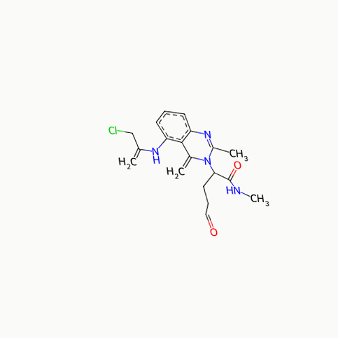 C=C(CCl)Nc1cccc2c1C(=C)N(C(CCC=O)C(=O)NC)C(C)=N2